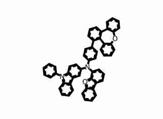 c1ccc(-n2c3ccccc3c3cc(N(c4ccc(-c5cccc6c5-c5ccccc5Oc5ccccc5-6)cc4)c4cccc5c4oc4ccccc45)ccc32)cc1